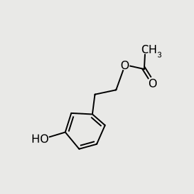 CC(=O)OCCc1cccc(O)c1